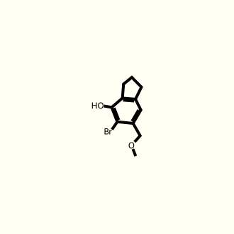 COCc1cc2c(c(O)c1Br)CCC2